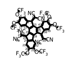 N#CC(C#N)=C1c2cc(OC(F)(F)F)c(OC(F)(F)F)cc2-c2c1c1c(c3c2C(=C(C#N)C#N)c2cc(OC(F)(F)F)c(OC(F)(F)F)cc2-3)C(=C(C#N)C#N)c2cc(OC(F)(F)F)c(OC(F)(F)F)cc2-1